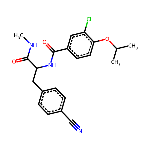 CNC(=O)C(Cc1ccc(C#N)cc1)NC(=O)c1ccc(OC(C)C)c(Cl)c1